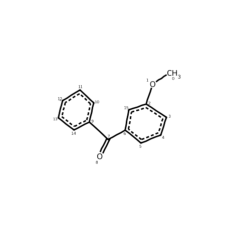 COc1cccc(C(=O)c2cc[c]cc2)c1